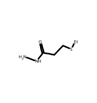 CCSCCC(=O)NN